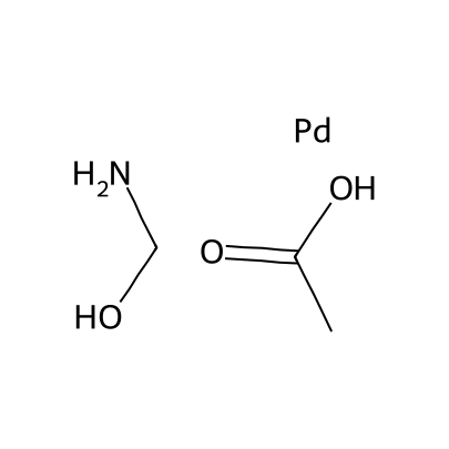 CC(=O)O.NCO.[Pd]